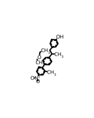 CCOCC.Cc1cc([N+](=O)[O-])ccc1-c1ccc(C(C)Cc2ccc(O)cc2)cc1